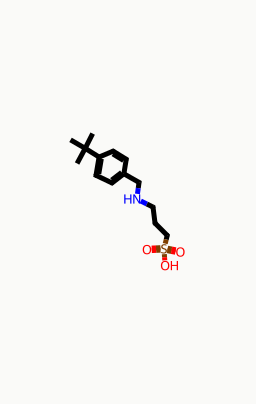 CC(C)(C)c1ccc(CNCCCS(=O)(=O)O)cc1